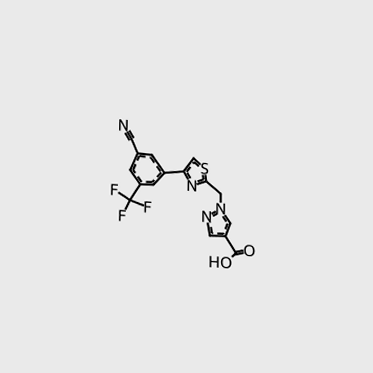 N#Cc1cc(-c2csc(Cn3cc(C(=O)O)cn3)n2)cc(C(F)(F)F)c1